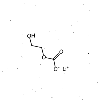 O=C([O-])OCCO.[Li+]